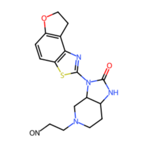 O=NCCN1CCC2NC(=O)N(c3nc4c5c(ccc4s3)OCC5)C2C1